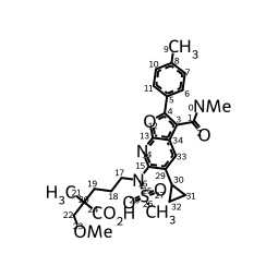 CNC(=O)c1c(-c2ccc(C)cc2)oc2nc(N(CCCC(C)(COC)C(=O)O)S(C)(=O)=O)c(C3CC3)cc12